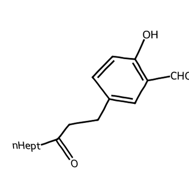 CCCCCCCC(=O)CCc1ccc(O)c(C=O)c1